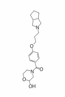 O=C(c1ccc(OCCCN2CC3CCCC3C2)cc1)N1CCOC(O)C1